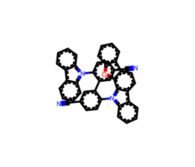 N#Cc1ccc(-n2c3ccccc3c3ccccc32)c(-c2cc(C#N)ccc2-n2c3ccccc3c3ccc4c5ccccc5oc4c32)c1